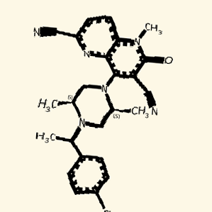 CC(c1ccc(Cl)cc1)N1C[C@H](C)N(c2c(C#N)c(=O)n(C)c3ccc(C#N)nc23)C[C@@H]1C